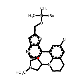 CC(C)(C)[Si](C)(C)OCc1cc2nccc(-c3cc(Cl)cc4c3N(C3CCN(C(=O)O)C3)CCC4)c2s1